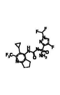 NS(=O)(=NC(=O)Nc1c2c(nc(C(F)(F)F)c1C1CC1)CCC2)c1nn(C(F)F)cc1F